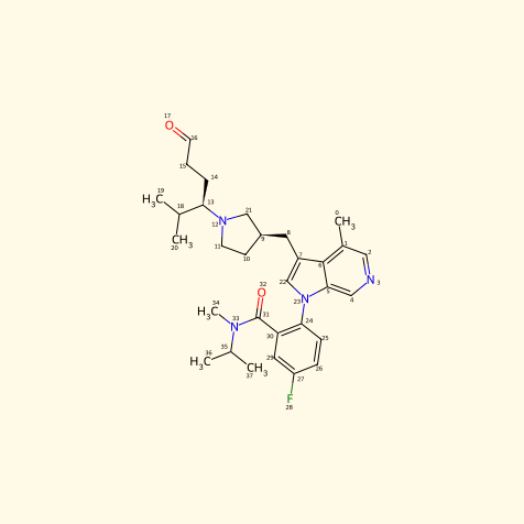 Cc1cncc2c1c(C[C@H]1CCN([C@H](CCC=O)C(C)C)C1)cn2-c1ccc(F)cc1C(=O)N(C)C(C)C